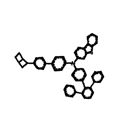 c1ccc(-c2cccc(-c3ccccc3)c2-c2ccc(N(c3ccc(-c4ccc(C5CC6CCC65)cc4)cc3)c3ccc4c(c3)sc3ccccc34)cc2)cc1